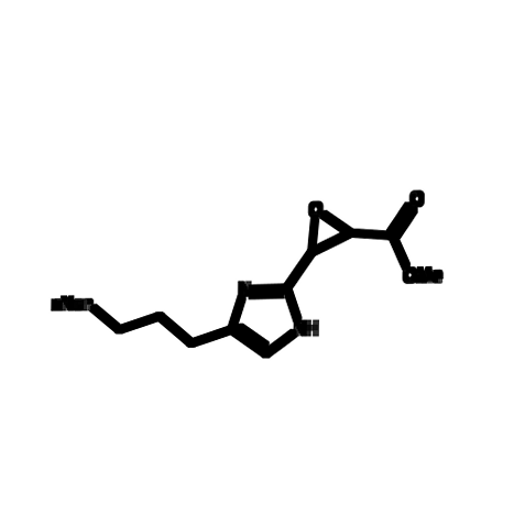 CCCCCCCCCCCCc1c[nH]c(C2OC2C(=O)OC)n1